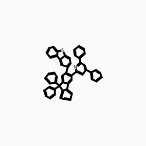 c1ccc(-c2cc(-c3ccccc3)nc(-c3cc4c(cc3-c3ccc5sc6ccccc6c5c3)C(c3ccccc3)(c3ccccc3)c3ccccc3-4)c2)cc1